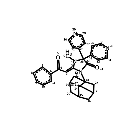 CN1C(=CC(=O)c2ccccc2)N(C23CC4CC(CC(C4)C2)C3)C(=O)C1(c1ccncc1)c1ccncc1